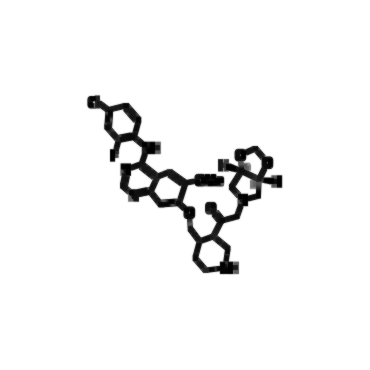 COc1cc2c(Nc3ccc(Cl)cc3F)ncnc2cc1OCC1CCNCC1C(=O)CN1C[C@@H]2OCO[C@@H]2C1